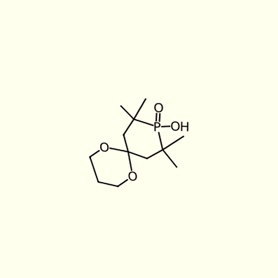 CC1(C)CC2(CC(C)(C)P1(=O)O)OCCCO2